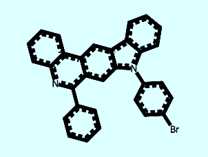 Brc1ccc(-n2c3ccccc3c3cc4c(cc32)c(-c2ccccc2)nc2ccccc24)cc1